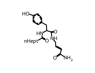 CCCCCCCC(=O)NC(Cc1ccc(O)cc1)C(=O)NC/C=C/C(N)=O